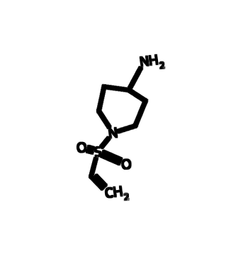 C=CS(=O)(=O)N1CCC(N)CC1